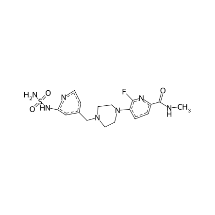 CNC(=O)c1ccc(N2CCN(Cc3ccnc(NS(N)(=O)=O)c3)CC2)c(F)n1